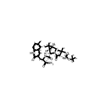 Cc1ccc2[nH]c(=O)c(CC(NC(=O)[C@@H]3[C@@H]4[C@H](CN3C(=O)[C@@H](NC(=O)OC(C)(C)C)C(C)(C)C)C4(C)C)C(N)=O)cc2c1